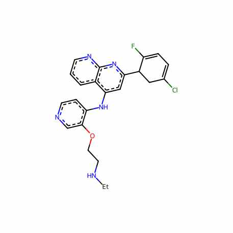 CCNCCOc1cnccc1Nc1cc(C2CC(Cl)=CC=C2F)nc2ncccc12